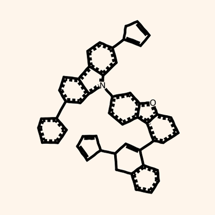 C1=CCC(c2ccc3c4ccc(-c5ccccc5)cc4n(-c4ccc5c(c4)oc4cccc(C6=CC(C7C=CC=C7)Cc7ccccc76)c45)c3c2)=C1